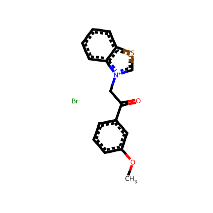 COc1cccc(C(=O)C[n+]2csc3ccccc32)c1.[Br-]